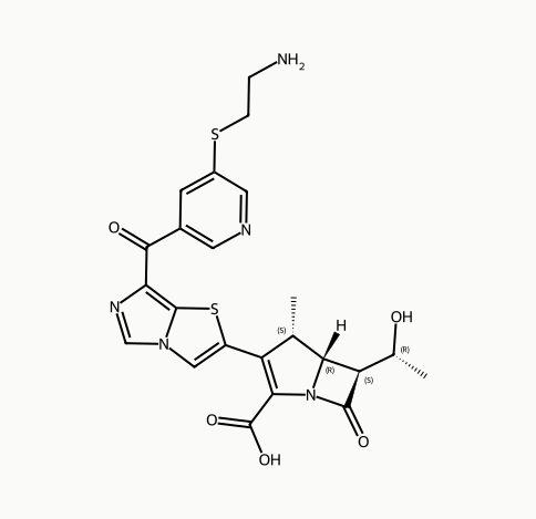 C[C@@H](O)[C@H]1C(=O)N2C(C(=O)O)=C(c3cn4cnc(C(=O)c5cncc(SCCN)c5)c4s3)[C@H](C)[C@H]12